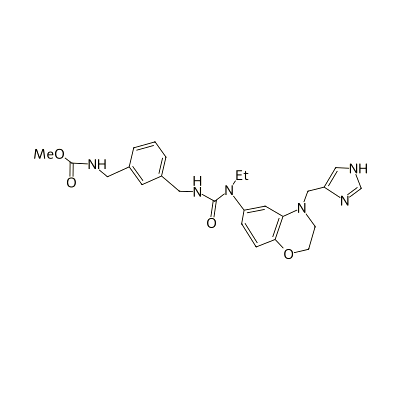 CCN(C(=O)NCc1cccc(CNC(=O)OC)c1)c1ccc2c(c1)N(Cc1c[nH]cn1)CCO2